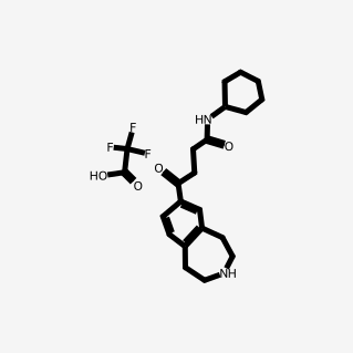 O=C(CCC(=O)c1ccc2c(c1)CCNCC2)NC1CCCCC1.O=C(O)C(F)(F)F